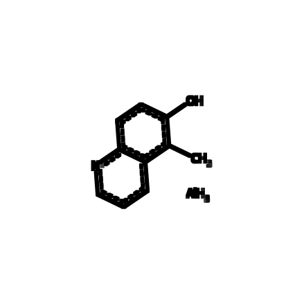 Cc1c(O)ccc2ncccc12.[AlH3]